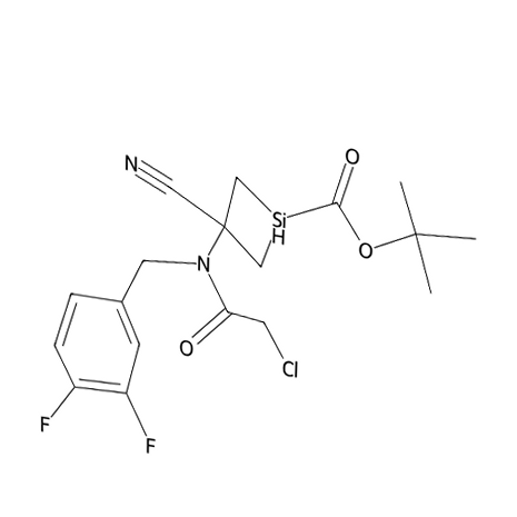 CC(C)(C)OC(=O)[SiH]1CC(C#N)(N(Cc2ccc(F)c(F)c2)C(=O)CCl)C1